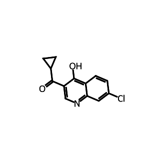 O=C(c1cnc2cc(Cl)ccc2c1O)C1CC1